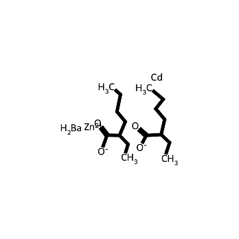 CCCCC(CC)C(=O)[O-].CCCCC(CC)C(=O)[O-].[BaH2].[Cd].[Zn+2]